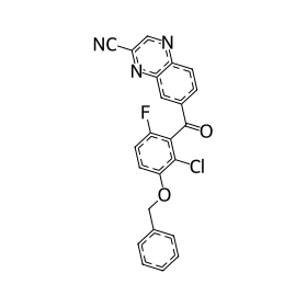 N#Cc1cnc2ccc(C(=O)c3c(F)ccc(OCc4ccccc4)c3Cl)cc2n1